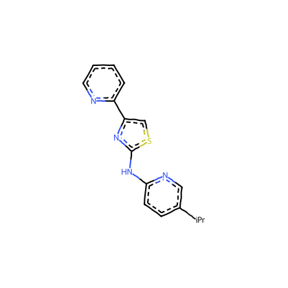 CC(C)c1ccc(Nc2nc(-c3ccccn3)cs2)nc1